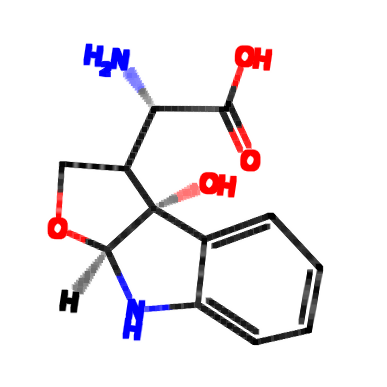 N[C@H](C(=O)O)C1CO[C@@H]2Nc3ccccc3[C@]12O